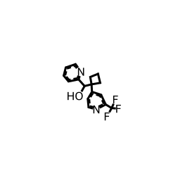 OC(c1ccccn1)C1(c2ccnc(C(F)(F)F)c2)CCC1